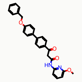 COc1cccc(NC(=O)CC(=O)c2ccc(-c3ccc(OCc4ccccc4)cc3)cc2)n1